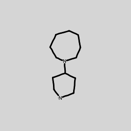 C1CCCN(C2CC[N]CC2)CCC1